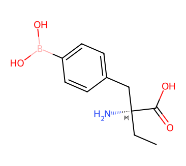 CC[C@@](N)(Cc1ccc(B(O)O)cc1)C(=O)O